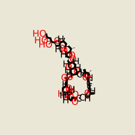 C=C1C[C@@H]2CC[C@]34CC(O3)[C@@H]3O[C@H]5CC[C@H](CC(=O)O[C@@H]6[C@@H](C)[C@@H]7O[C@@H]8C[C@@]9(C[C@@H]%10O[C@@]%11(C[C@H](C)C%10O9)C[C@H](C)[C@@H]9O[C@H]([C@@H](O)C[C@@H](O)CO)C[C@@H]9O%11)O[C@@H]8C[C@@H]7O[C@H]6C[C@H]6O[C@@H](CC[C@@H]1O2)C[C@@H](C)C6=C)O[C@@H]5[C@H](O4)[C@@H]3O